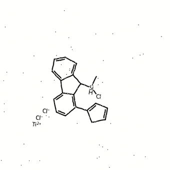 C[SiH](Cl)C1c2ccccc2-c2cccc(C3=CC=CC3)c21.[Cl-].[Cl-].[Ti+2]